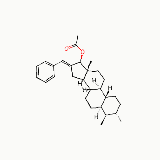 CC(=O)O[C@@H]1/C(=C/c2ccccc2)C[C@@H]2[C@H]3CC[C@@H]4[C@H](C)[C@@H](C)CC[C@H]4[C@@H]3CC[C@@]12C